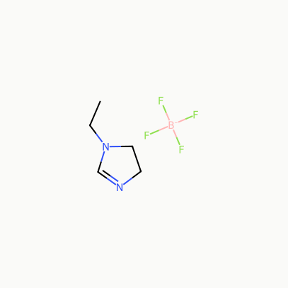 CCN1C=NCC1.F[B-](F)(F)F